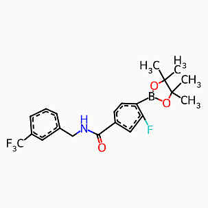 CC1(C)OB(c2ccc(C(=O)NCc3cccc(C(F)(F)F)c3)cc2F)OC1(C)C